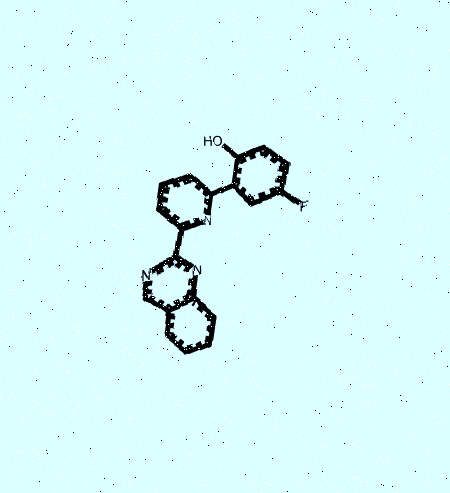 Oc1ccc(F)cc1-c1cccc(-c2ncc3ccccc3n2)n1